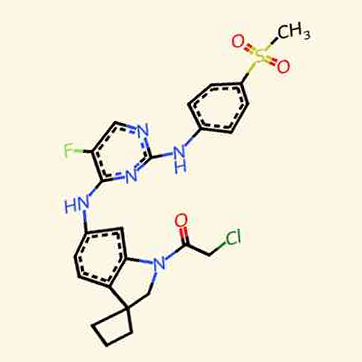 CS(=O)(=O)c1ccc(Nc2ncc(F)c(Nc3ccc4c(c3)N(C(=O)CCl)CC43CCC3)n2)cc1